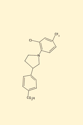 O=C(O)c1ccc(C2CCN(c3ccc(C(F)(F)F)cc3Cl)C2)cc1